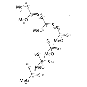 COC(=S)[S-].COC(=S)[S-].COC(=S)[S-].COC(=S)[S-].COC(=S)[S-].COC(=S)[S-].[Mo+6]